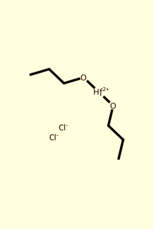 CCC[O][Hf+2][O]CCC.[Cl-].[Cl-]